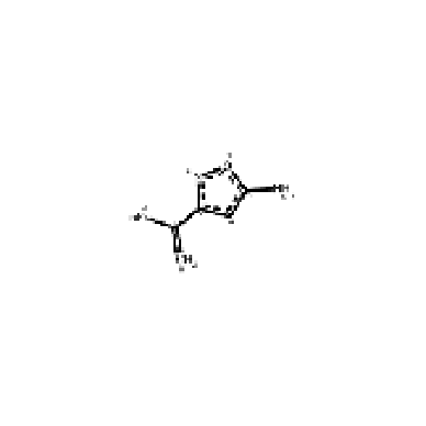 C=C(CCC)c1cc(N)on1